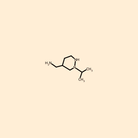 CC(C)N1CC(CN)CCN1